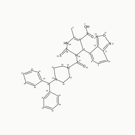 CC1=C(C(=O)O)C(c2cccc3nonc23)N(C(=O)N2CCN(C(c3ccccc3)c3ccccc3)CC2)C(=S)N1